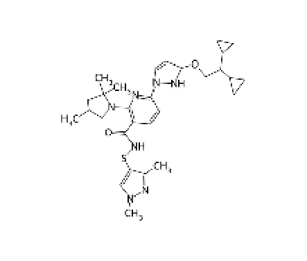 Cc1nn(C)cc1SNC(=O)c1ccc(N2C=CC(OCC(C3CC3)C3CC3)N2)nc1N1CC(C)CC1(C)C